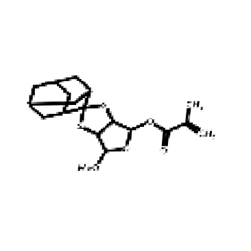 C=C(C)C(=O)OC1OC(OC)C2SC3(SC12)C1CC2CC(C1)CC3C2